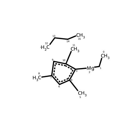 C[CH2][Mg][c]1c(C)cc(C)cc1C.[CH2]CCC